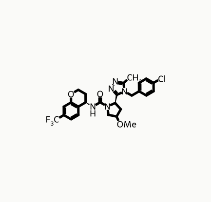 COC1C[C@H](c2nnc(C)n2Cc2ccc(Cl)cc2)N(C(=O)N[C@H]2CCOc3cc(C(F)(F)F)ccc32)C1